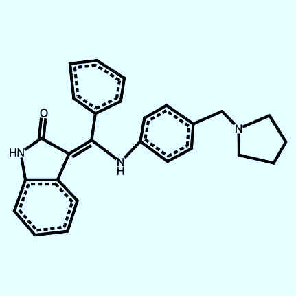 O=C1Nc2ccccc2C1=C(Nc1ccc(CN2CCCC2)cc1)c1ccccc1